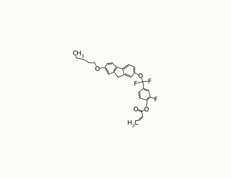 C=CC(=O)Oc1ccc(C(F)(F)Oc2ccc3c(c2)Cc2cc(OCCCCC)ccc2-3)cc1F